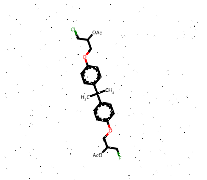 CC(=O)OC(CF)COc1ccc(C(C)(C)c2ccc(OCC(CCl)OC(C)=O)cc2)cc1